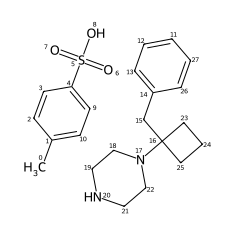 Cc1ccc(S(=O)(=O)O)cc1.c1ccc(CC2(N3CCNCC3)CCC2)cc1